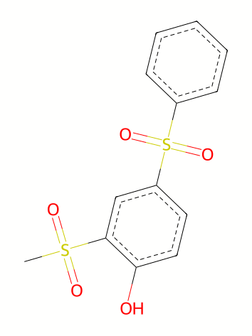 CS(=O)(=O)c1cc(S(=O)(=O)c2ccccc2)ccc1O